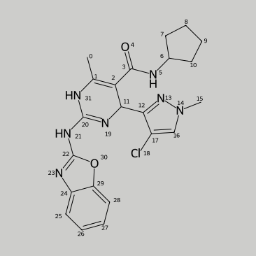 CC1=C(C(=O)NC2CCCC2)C(c2nn(C)cc2Cl)N=C(Nc2nc3ccccc3o2)N1